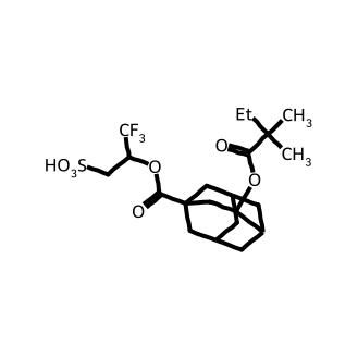 CCC(C)(C)C(=O)OC1CC2(C(=O)OC(CS(=O)(=O)O)C(F)(F)F)CC3CC(CC1C3)C2